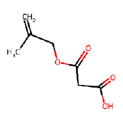 C=C(C)COC(=O)CC(=O)O